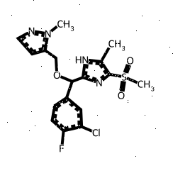 Cc1[nH]c(C(OCc2ccnn2C)c2ccc(F)c(Cl)c2)nc1S(C)(=O)=O